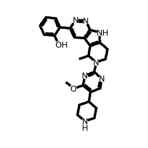 COc1nc(N2CCc3[nH]c4nnc(-c5ccccc5O)cc4c3C2C)ncc1C1CCNCC1